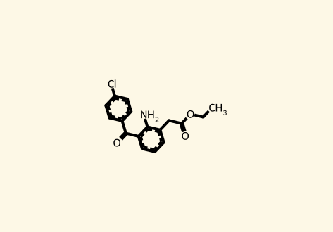 CCOC(=O)Cc1cccc(C(=O)c2ccc(Cl)cc2)c1N